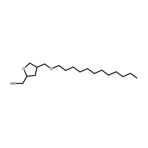 CCCCCCCCCCCCOCC1COC(CO)C1